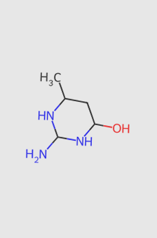 CC1CC(O)NC(N)N1